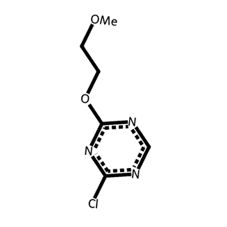 COCCOc1ncnc(Cl)n1